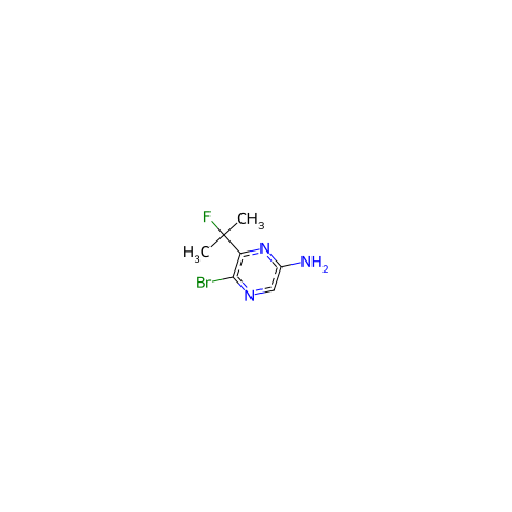 CC(C)(F)c1nc(N)cnc1Br